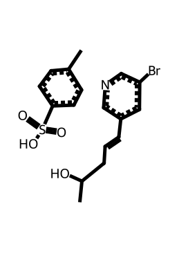 CC(O)C/C=C/c1cncc(Br)c1.Cc1ccc(S(=O)(=O)O)cc1